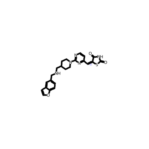 O=C1NC(=O)/C(=C\c2ccnc(N3CCC(CNCc4ccc5occc5c4)CC3)n2)S1